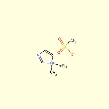 CCCC[N+]1(C)C=CN=C1.O=S(=O)([O-])C(F)(F)F